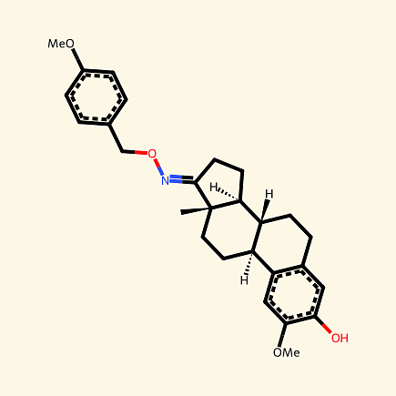 COc1ccc(CON=C2CC[C@H]3[C@@H]4CCc5cc(O)c(OC)cc5[C@H]4CC[C@]23C)cc1